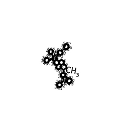 CC1C=c2ccc3c4c(ccc(c24)C1c1ccc2c(c1)c1ccccc1n2-c1ccccc1)cc1c(-c2ccccc2)c(-c2ccccc2)n(-c2ccc(-c4ccccc4)cc2)c13